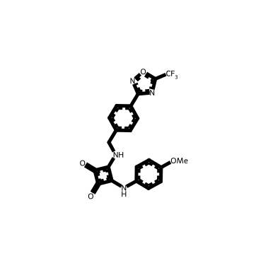 COc1ccc(Nc2c(NCc3ccc(-c4noc(C(F)(F)F)n4)cc3)c(=O)c2=O)cc1